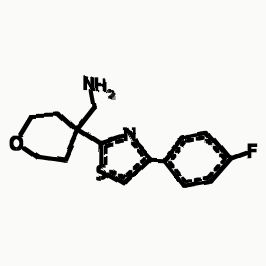 NCC1(c2nc(-c3ccc(F)cc3)cs2)CCOCC1